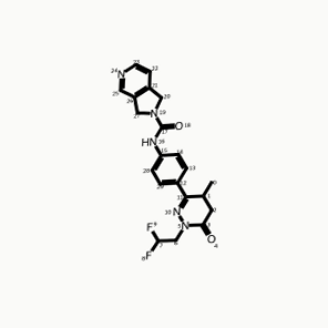 CC1CC(=O)N(CC(F)F)N=C1c1ccc(NC(=O)N2Cc3ccncc3C2)cc1